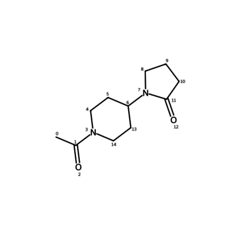 CC(=O)N1CCC(N2CCCC2=O)CC1